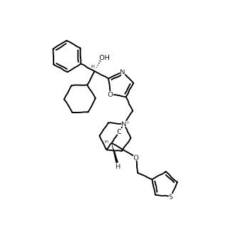 O[C@](c1ccccc1)(c1ncc(C[N+]23CCC(CC2)[C@@H](OCc2ccsc2)C3)o1)C1CCCCC1